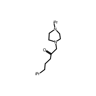 CC(C)CCCC(=O)CN1CCN(C(C)C)CC1